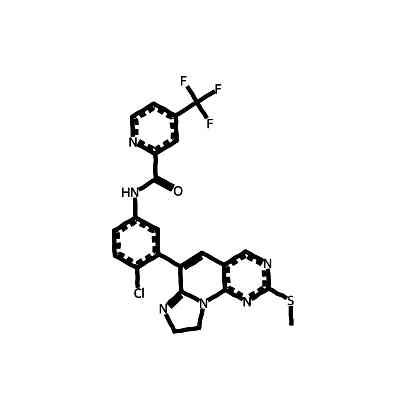 CSc1ncc2c(n1)N1CCN=C1C(c1cc(NC(=O)c3cc(C(F)(F)F)ccn3)ccc1Cl)=C2